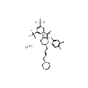 Cc1ccc(C[C@]2(C(=O)c3cc(C(F)(F)F)cc(C(F)(F)F)c3)CN(C/C=C/CN3CCSCC3)CCN2)cc1C.Cl.Cl